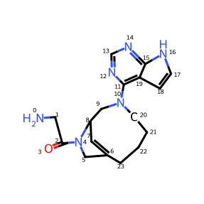 NCC(=O)N1CC2=CC1CN(c1ncnc3[nH]ccc13)CCCC2